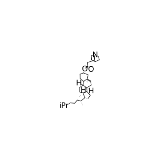 CC(C)CCC[C@@H](C)[C@H]1CC[C@H]2[C@@H]3CC=C4C[C@@H](OC(=O)CC5CN6CCC5CC6)CC[C@]4(C)[C@H]3CC[C@]12C